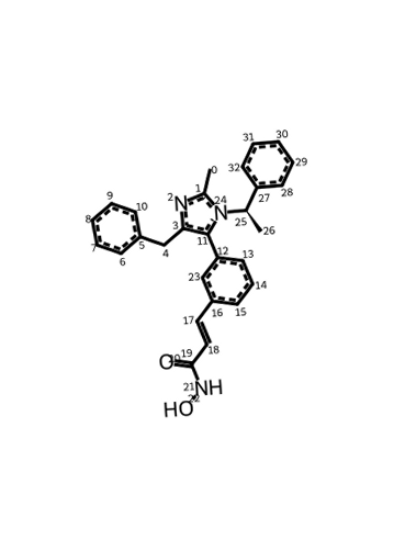 Cc1nc(Cc2ccccc2)c(-c2cccc(/C=C/C(=O)NO)c2)n1[C@H](C)c1ccccc1